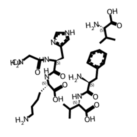 CC(C)[C@H](N)C(=O)O.CC(C)[C@H](NC(=O)[C@@H](N)Cc1ccccc1)C(=O)O.NCCCC[C@H](NC(=O)[C@H](Cc1c[nH]cn1)NC(=O)CN)C(=O)O.[Cu]